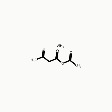 CC(=O)CC(=O)OC(C)=O.[AlH3]